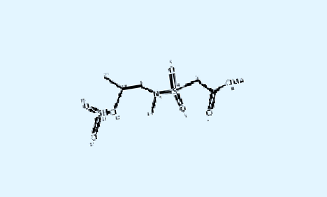 COC(=O)CS(=O)(=O)N(C)CC(C)O[SH](=O)=O